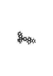 c1ccc2c(c1)-c1cccc3c(-c4ccc(-n5c6cc7ccccc7cc6c6ncccc65)cc4)ccc-2c13